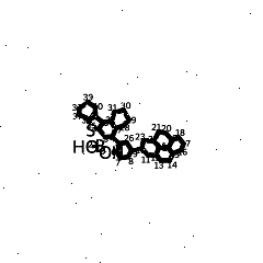 OB(O)c1c(-c2cccc(-c3cc4ccc5cccc6ccc(c3)c4c56)c2)c2ccccc2c2c1sc1ccccc12